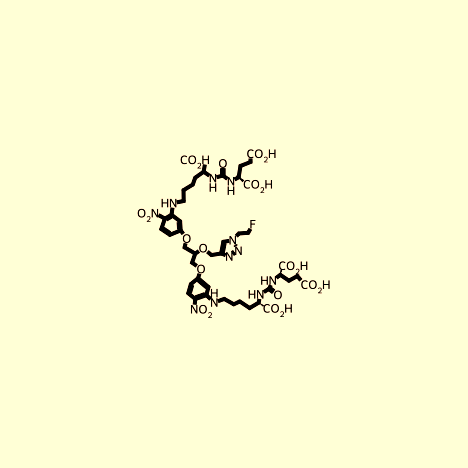 O=C(O)CC[C@H](NC(=O)NC(CCCCNc1cc(OCC(COc2ccc([N+](=O)[O-])c(NCCCC[C@H](NC(=O)N[C@@H](CCC(=O)O)C(=O)O)C(=O)O)c2)OCc2cn(CCF)nn2)ccc1[N+](=O)[O-])C(=O)O)C(=O)O